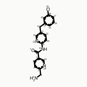 NCc1ccc(C(=O)Nc2ccc(Cc3cccc(Cl)c3)cn2)cn1